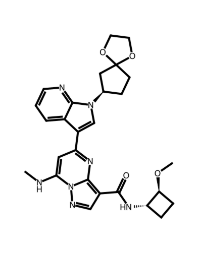 CNc1cc(-c2cn([C@@H]3CCC4(C3)OCCO4)c3ncccc23)nc2c(C(=O)N[C@H]3CC[C@@H]3OC)cnn12